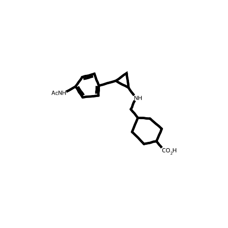 CC(=O)Nc1ccc(C2CC2NCC2CCC(C(=O)O)CC2)cc1